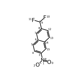 O=[N+]([O-])c1ccc2cc([C](F)F)ccc2c1